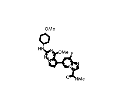 CNC(=O)c1cnc2c(F)cc(-c3ccn4nc(N[C@H]5CC[C@@H](OC)CC5)nc(OC)c34)cn12